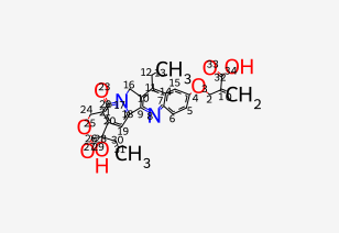 C=C(COc1ccc2nc3c(c(CC)c2c1)Cn1c-3cc2c(c1=O)COC(=O)[C@]2(O)CC)C(=O)O